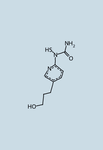 NC(=O)N(S)c1ccc(CCCO)cn1